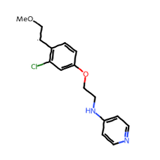 COC[CH]c1ccc(OCCNc2ccncc2)cc1Cl